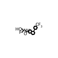 O=C(NC(CO)CF)c1ccc2c(-c3ccc(C(F)(F)F)cc3)cccc2c1